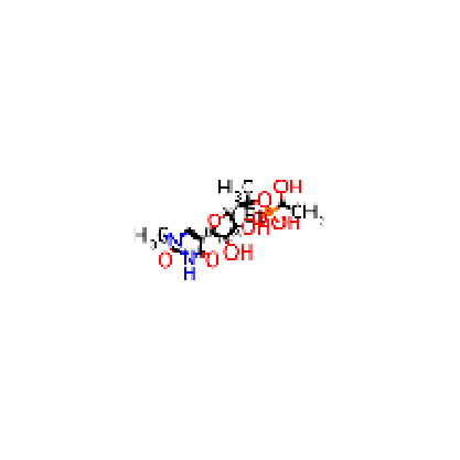 CC[C@](C)(C[C@H]1O[C@@H](c2cn(C)c(=O)[nH]c2=O)[C@H](O)[C@@H]1O)OP(=O)(O)C(C)O